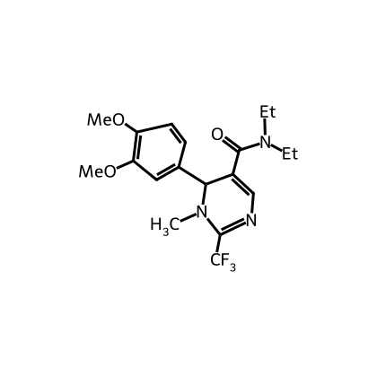 CCN(CC)C(=O)C1=CN=C(C(F)(F)F)N(C)C1c1ccc(OC)c(OC)c1